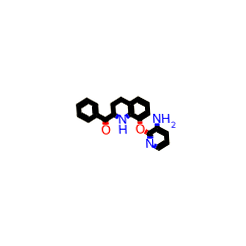 Nc1cccnc1Oc1cccc2c1NC(C(=O)c1ccccc1)CC2